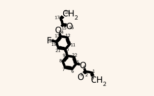 C=CC(=O)Oc1cccc(-c2ccc(OC(=O)C=C)c(F)c2)c1